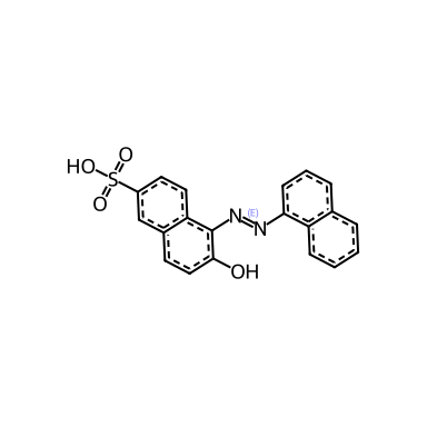 O=S(=O)(O)c1ccc2c(/N=N/c3cccc4ccccc34)c(O)ccc2c1